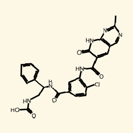 Cc1ncc2cc(C(=O)Nc3cc(C(=O)NC(CNC(=O)O)c4ccccc4)ccc3Cl)c(=O)[nH]c2n1